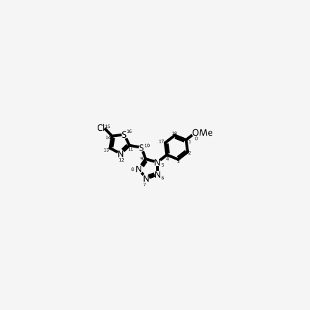 COc1ccc(-n2nnnc2Sc2ncc(Cl)s2)cc1